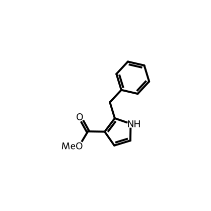 COC(=O)c1cc[nH]c1Cc1ccccc1